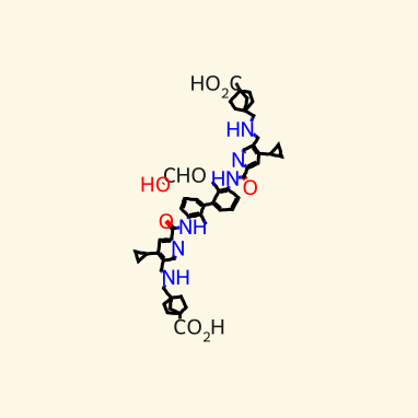 Cc1c(NC(=O)c2cc(C3CC3)c(CNCC34CCC(C(=O)O)(CC3)C4)cn2)cccc1-c1cccc(NC(=O)c2cc(C3CC3)c(CNCC34CCC(C(=O)O)(CC3)C4)cn2)c1C.O=CO